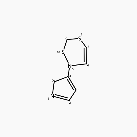 [C]1N=CC=C1N1C=CSCS1